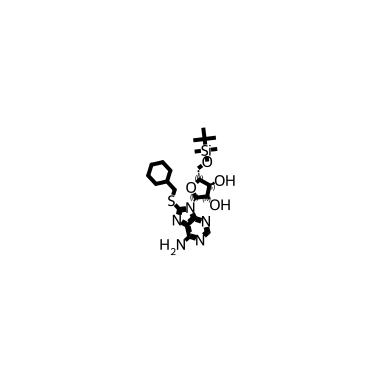 CC(C)(C)[Si](C)(C)OC[C@H]1O[C@@H](n2c(SCC3CCCCC3)nc3c(N)ncnc32)[C@H](O)[C@@H]1O